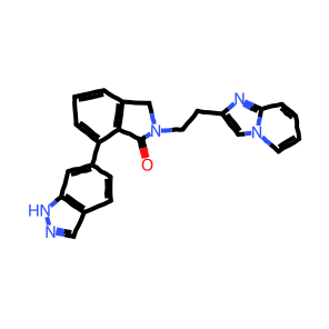 O=C1c2c(cccc2-c2ccc3cn[nH]c3c2)CN1CCc1cn2ccccc2n1